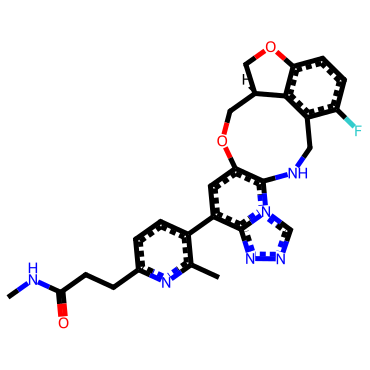 CNC(=O)CCc1ccc(-c2cc3c(n4cnnc24)NCc2c(F)ccc4c2[C@@H](CO4)CO3)c(C)n1